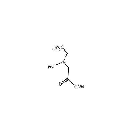 COC(=O)CC(O)CC(=O)O